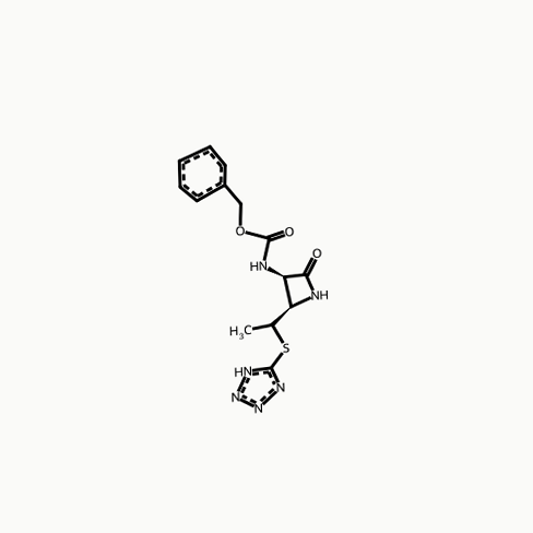 CC(Sc1nnn[nH]1)[C@@H]1NC(=O)[C@@H]1NC(=O)OCc1ccccc1